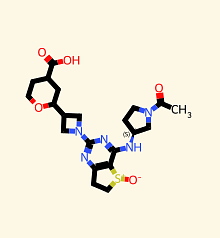 CC(=O)N1CC[C@H](Nc2nc(N3CC(C4CC(C(=O)O)CCO4)C3)nc3c2[S+]([O-])CC3)C1